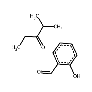 CCC(=O)C(C)C.O=Cc1ccccc1O